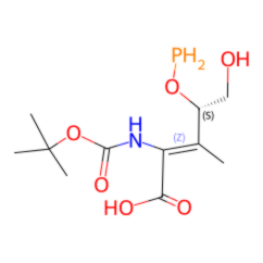 C/C(=C(/NC(=O)OC(C)(C)C)C(=O)O)[C@@H](CO)OP